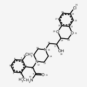 Cc1cccc(C)c1C(C(N)=O)N1CCN(CC(O)C2COc3cc(Cl)ccc3O2)CC1